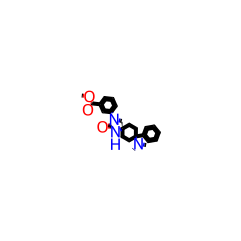 COC(=O)c1cccc(N2C[C@]3(CC[C@@](c4ccccc4)(N(C)C)CC3)NC2=O)c1